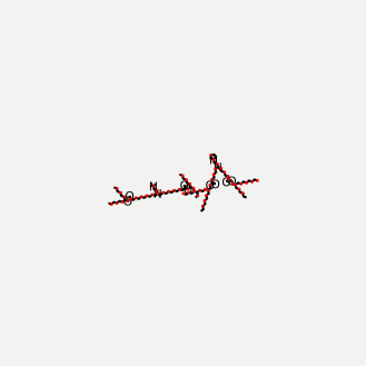 CCCCCCCCC(CCCCCC)COC(=O)CCCCCN(CCCCCC(=O)OCC(CCCCCCCC)CCCC(CC)C(CCCC)CC(CCCCCC)OC(=O)CCCCCCCCCN(CCCCCCCCCC(=O)OC(CCCCCC)CCCCCC)CCN(C)C)CCN1CCCC1